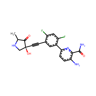 CC1NC[C@@](O)(C#Cc2cc(-c3ccc(N)c(C(N)=O)n3)c(F)cc2F)C1=O